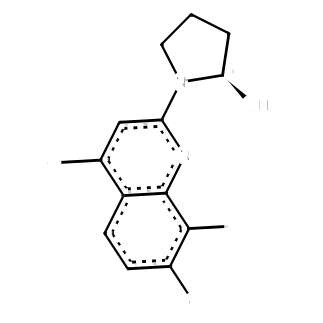 C[C@@H]1CCCN1c1cc(Cl)c2ccc(Cl)c(Cl)c2n1